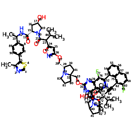 Cc1ncsc1-c1ccc(C(C)NC(=O)[C@@H]2C[C@@H](O)CN2C(=O)C(c2cc(OC[C@@H]3CC[C@]4(COc5nc(N6CC7CCC(C6)N7C(=O)O)c6cnc(-c7cccc8ccc(F)c(C#C[Si](C(C)C)(C(C)C)C(C)C)c78)c(F)c6n5)CCCN34)no2)C(C)C)cc1